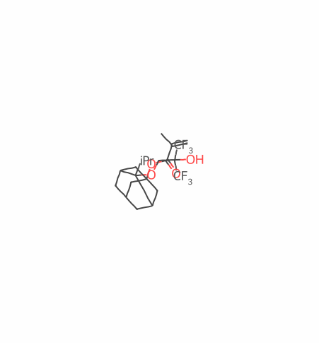 C=C(C)C(=O)OC12CC3CC(C1)C(OCC(O)(C(F)(F)F)C(F)(F)F)(C(C)C)C(C3)C2